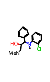 CNCC(O)C(c1ccccc1)N(C)c1ccccc1Cl